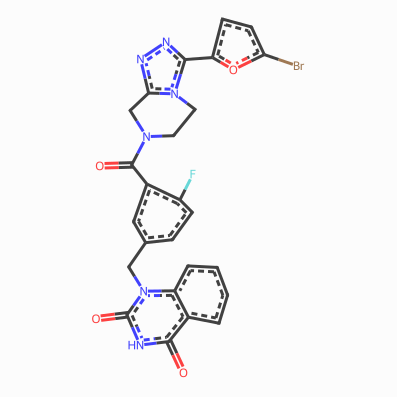 O=C(c1cc(Cn2c(=O)[nH]c(=O)c3ccccc32)ccc1F)N1CCn2c(nnc2-c2ccc(Br)o2)C1